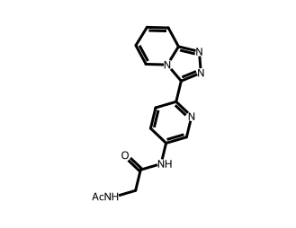 CC(=O)NCC(=O)Nc1ccc(-c2nnc3ccccn23)nc1